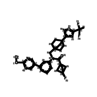 CCOc1ncc(-c2cccc(N(CC34CCC(c5noc(C(C)(F)F)n5)(CC3)CC4)C(=O)C34CC(F)(C3)C4)c2)cn1